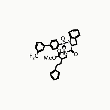 COC(=O)C(CCc1ccccc1)CNC(=O)[C@@H]1Cc2ccccc2N1S(=O)(=O)c1ccc(-c2cccc(C(F)(F)F)c2)cc1